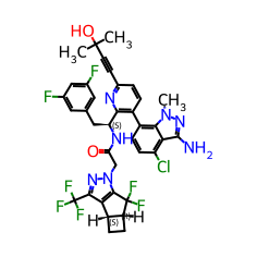 Cn1nc(N)c2c(Cl)ccc(-c3ccc(C#CC(C)(C)O)nc3[C@H](Cc3cc(F)cc(F)c3)NC(=O)Cn3nc(C(F)(F)F)c4c3C(F)(F)[C@@H]3CC[C@H]43)c21